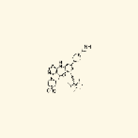 CC1Oc2c(C#C[Si](C(C)C)(C(C)C)C(C)C)cc(C3CCN(C4CNC4)CC3)cc2Nc2ncnc(N3CCS(=O)(=O)CC3)c21